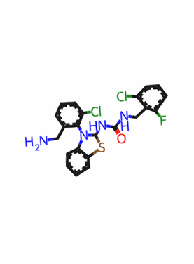 NCc1cccc(Cl)c1N1c2ccccc2SC1NC(=O)NCc1c(F)cccc1Cl